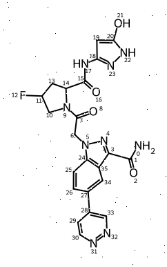 NC(=O)c1nn(CC(=O)N2CC(F)CC2C(=O)Nc2cc(O)[nH]n2)c2ccc(-c3ccnnc3)cc12